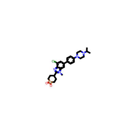 CC(C)N1CCN(c2ccc(-c3cc(Cl)c4nc(C5CCS(=O)(=O)CC5)n(C)c4c3)cc2)CC1